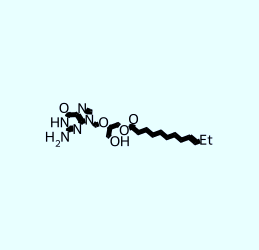 CCC=CCCCCCCCC(=O)OCC(CO)OCn1cnc2c(=O)[nH]c(N)nc21